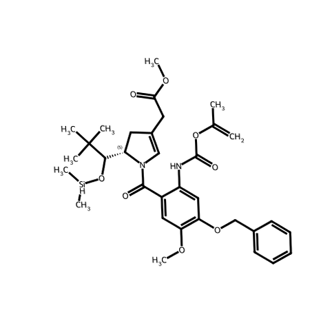 C=C(C)OC(=O)Nc1cc(OCc2ccccc2)c(OC)cc1C(=O)N1C=C(CC(=O)OC)C[C@H]1C(O[SiH](C)C)C(C)(C)C